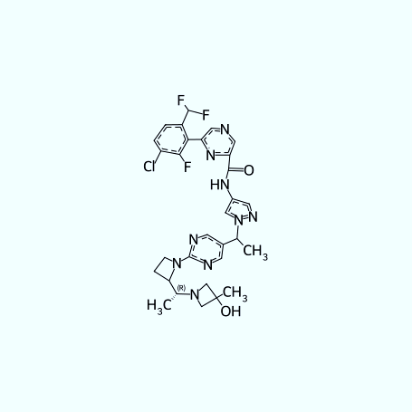 CC(c1cnc(N2CCC2[C@@H](C)N2CC(C)(O)C2)nc1)n1cc(NC(=O)c2cncc(-c3c(C(F)F)ccc(Cl)c3F)n2)cn1